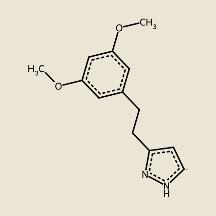 COc1cc(CCc2c[c][nH]n2)cc(OC)c1